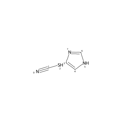 N#CS.c1c[nH]cn1